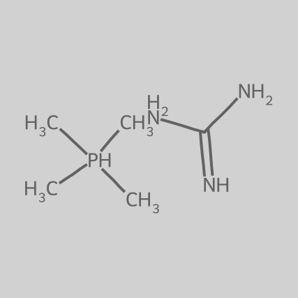 C[PH](C)(C)C.N=C(N)N